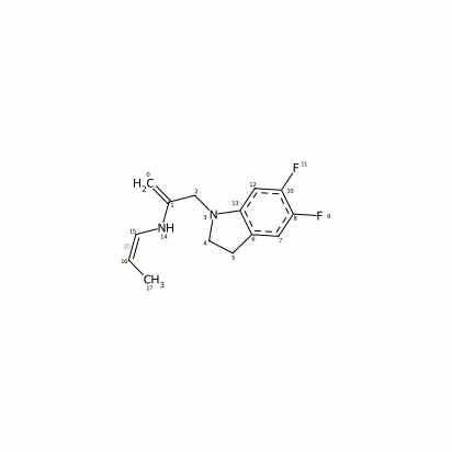 C=C(CN1CCc2cc(F)c(F)cc21)N/C=C\C